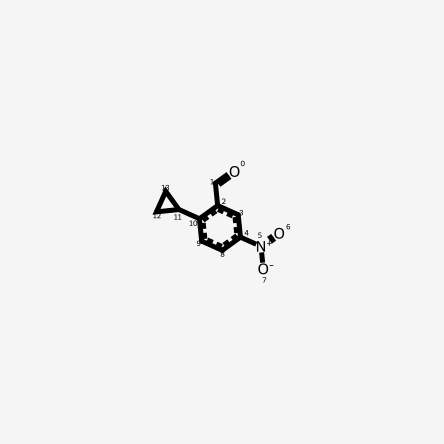 O=Cc1cc([N+](=O)[O-])ccc1C1CC1